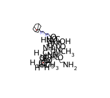 C[C@H](NC(=O)[C@H](CCCCN)NC(=O)[C@H](C)NC(=O)[C@@H](NC(=O)[C@H](CCN)NC(=O)/C=C/C=C/C12CC3CC(CC(C3)C1)C2)[C@@H](C)O)B1OC2C[C@@H]3C[C@@H](C3(C)C)[C@]2(C)O1